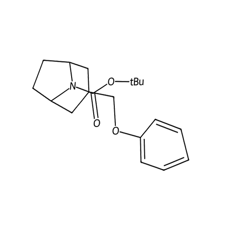 CC(C)(C)OC(=O)N1C2CCC1CC(COc1ccccc1)C2